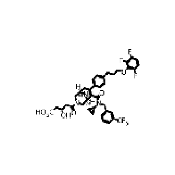 O=C(O)C[C@@H](O)CC(=O)N1C[C@H]2CC(c3ccc(CCCOc4c(F)ccc(F)c4F)cc3)=C(C(=O)N(Cc3cccc(C(F)(F)F)c3)C3CC3)[C@@H](C1)N2